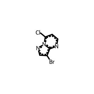 Clc1ccnc2c(Br)cnn12